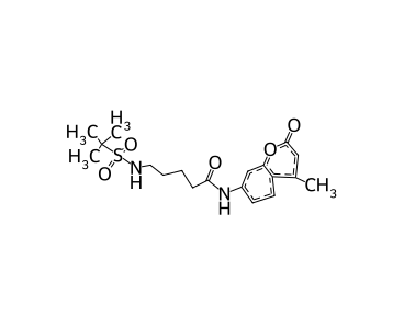 Cc1cc(=O)oc2cc(NC(=O)CCCCNS(=O)(=O)C(C)(C)C)ccc12